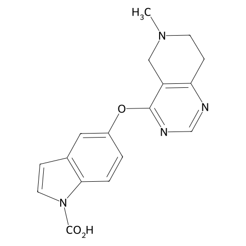 CN1CCc2ncnc(Oc3ccc4c(ccn4C(=O)O)c3)c2C1